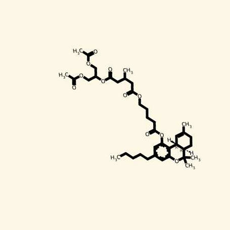 CCCCCc1cc(OC(=O)CCCCOC(=O)CC(C)CC(=O)OC(COC(C)=O)COC(C)=O)c2c(c1)OC(C)(C)[C@@H]1CCC(C)=C[C@@H]21